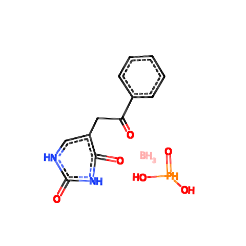 B.O=C(Cc1c[nH]c(=O)[nH]c1=O)c1ccccc1.O=[PH](O)O